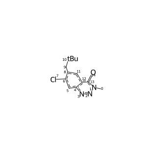 Cn1nnc2cc(Cl)c(CC(C)(C)C)cc2c1=O